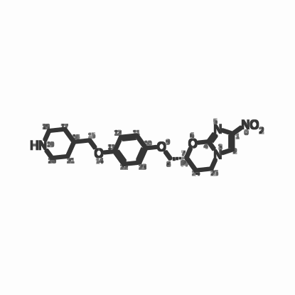 O=[N+]([O-])c1cn2c(n1)O[C@@H](COc1ccc(OCC3CCNCC3)cc1)CC2